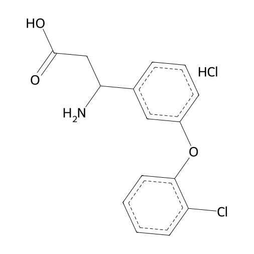 Cl.NC(CC(=O)O)c1cccc(Oc2ccccc2Cl)c1